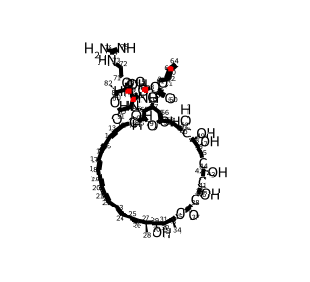 C=CCOC(=O)N[C@@H]1[C@H](O)[C@H](O[C@H]2/C=C/C=C/C=C/C=C/C=C/C=C/C=C/[C@H](C)[C@@H](O)[C@@H](C)[C@H](C)OC(=O)C[C@H](O)C[C@H](O)CC[C@@H](O)[C@H](O)C[C@H](O)C[C@]3(O)C[C@H](OC(=O)OCC=C)[C@@H](NC(=O)NOCCNC(=N)N)[C@H](C2)O3)O[C@H](C)[C@H]1O